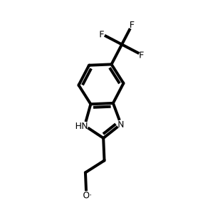 [O]CCc1nc2cc(C(F)(F)F)ccc2[nH]1